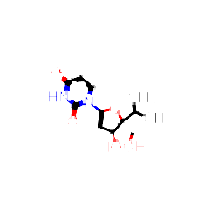 CC(C)[C@]1(CO)OC(n2ccc(=O)[nH]c2=O)=C[C@@H]1O